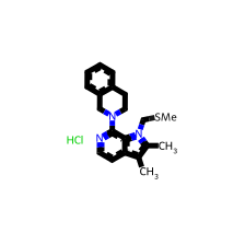 CSCn1c(C)c(C)c2ccnc(N3CCc4ccccc4C3)c21.Cl